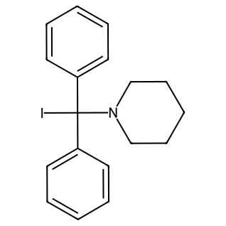 IC(c1ccccc1)(c1ccccc1)N1CCCCC1